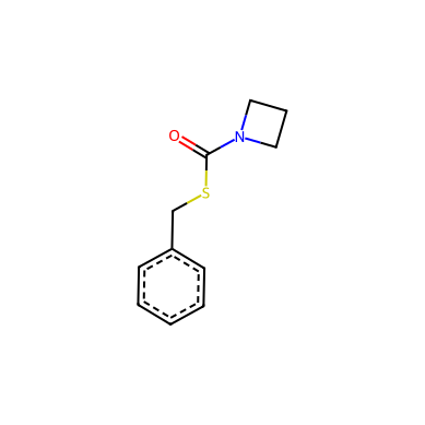 O=C(SCc1ccccc1)N1CCC1